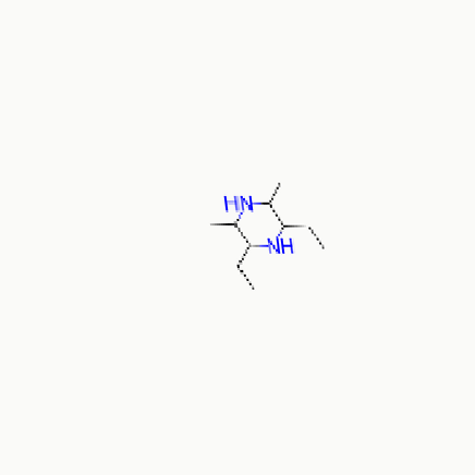 CCC1NC(CC)C(C)NC1C